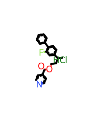 CC(CCOC(=O)c1ccncc1)c1ccc(-c2ccccc2)c(F)c1.Cl